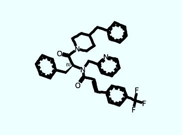 O=C([C@H](Cc1ccccc1)N(Cc1ccccn1)C(=O)C=Cc1ccc(C(F)(F)F)cc1)N1CCC(Cc2ccccc2)CC1